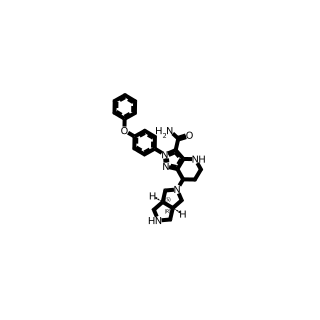 NC(=O)c1c2c(nn1-c1ccc(Oc3ccccc3)cc1)C(N1C[C@H]3CNC[C@H]3C1)CCN2